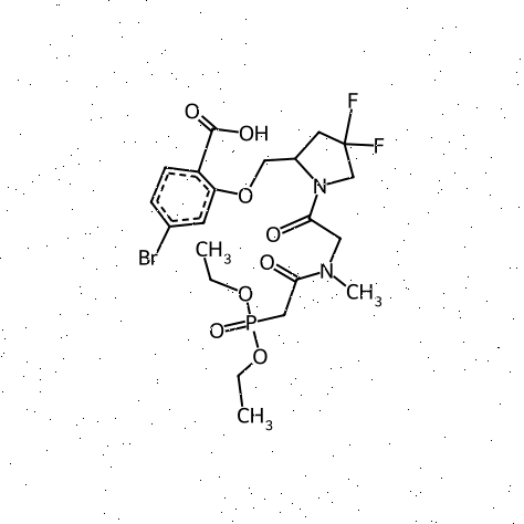 CCOP(=O)(CC(=O)N(C)CC(=O)N1CC(F)(F)CC1COc1cc(Br)ccc1C(=O)O)OCC